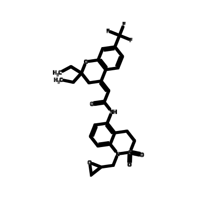 CCC1(CC)CC(=CC(=O)Nc2cccc3c2CCS(=O)(=O)N3CC2CO2)c2ccc(C(F)(F)F)cc2O1